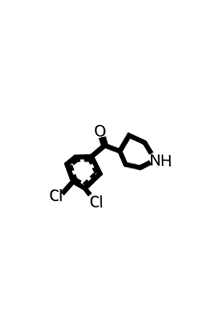 O=C(c1ccc(Cl)c(Cl)c1)C1CCNCC1